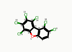 Clc1ccc2oc3c(Cl)c(Cl)c(Cl)c(Cl)c3c2c1Cl